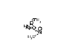 CCCCc1nc2ccccc2n1Cc1ccc(-c2cc(OC)ccc2-c2nnn[nH]2)cc1